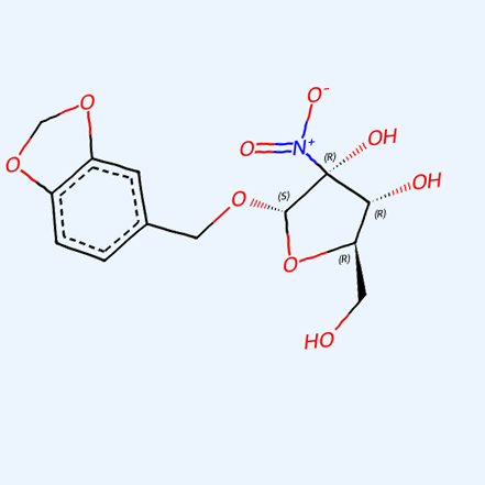 O=[N+]([O-])[C@]1(O)[C@@H](OCc2ccc3c(c2)OCO3)O[C@H](CO)[C@H]1O